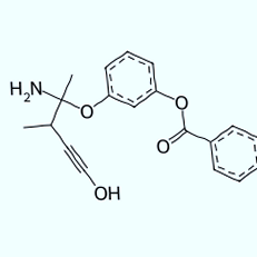 CC(C#CO)C(C)(N)Oc1cccc(OC(=O)c2ccccc2)c1